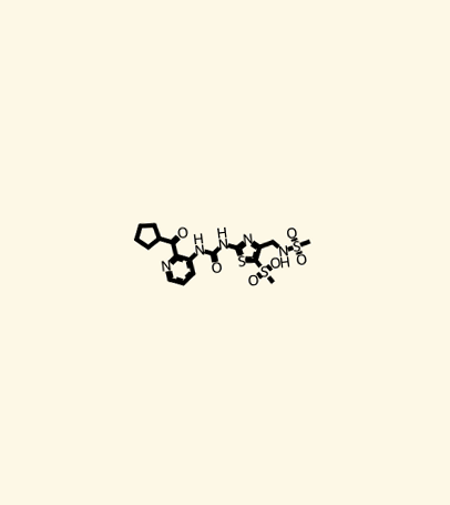 CS(=O)(=O)NCc1nc(NC(=O)Nc2cccnc2C(=O)C2CCCC2)sc1S(C)(=O)=O